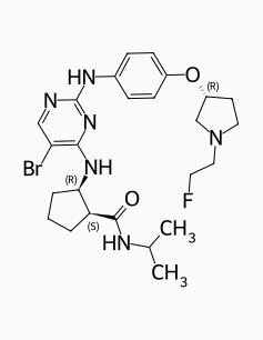 CC(C)NC(=O)[C@H]1CCC[C@H]1Nc1nc(Nc2ccc(O[C@@H]3CCN(CCF)C3)cc2)ncc1Br